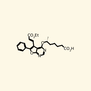 CCOC(=O)/C=C/c1c(-c2ccccc2)oc2ncnc(O[C@H](C)CCCCC(=O)O)c12